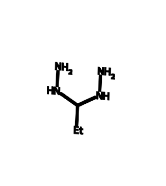 [CH2]CC(NN)NN